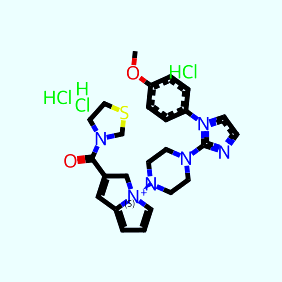 COc1ccc(-n2ccnc2N2CCN([N@@+]34C=CC=C3C=C(C(=O)N3CCSC3)C4)CC2)cc1.Cl.Cl.Cl